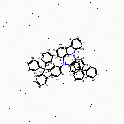 c1ccc(-c2ccc(N(c3ccc4c(c3)C(c3ccccc3)(c3ccccc3)c3ccccc3-4)c3cccc4c5ccccc5n(-c5ccc6ccccc6c5)c34)cc2)cc1